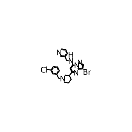 Clc1cccc(CN2CCCC(c3cc(NCc4cccnc4)n4ncc(Br)c4n3)C2)c1